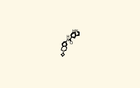 O=C(Nc1ccc2c(c1)CCN(C1CCC1)CC2)c1ccc2[nH]ccc2c1